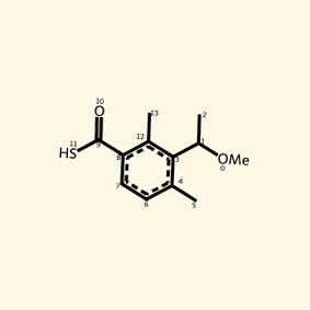 COC(C)c1c(C)ccc(C(=O)S)c1C